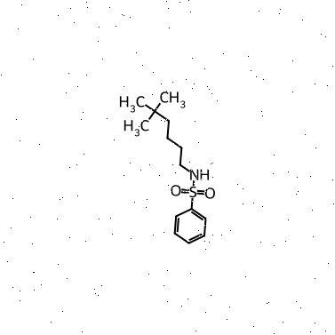 CC(C)(C)CCCCNS(=O)(=O)c1ccccc1